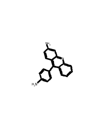 Nc1ccc(-c2c3ccccc3nc3cc(N)ccc23)cc1